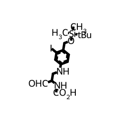 CC(C)(C)[Si](C)(C)OCc1ccc(NCC(C=O)NC(=O)O)cc1I